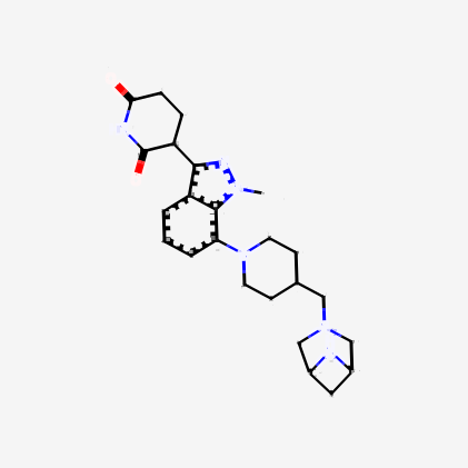 Cn1nc(C2CCC(=O)NC2=O)c2cccc(N3CCC(CN4CC5CC(C4)N5)CC3)c21